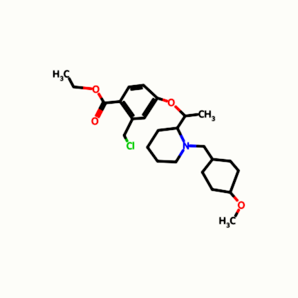 CCOC(=O)c1ccc(OC(C)C2CCCCN2CC2CCC(OC)CC2)cc1CCl